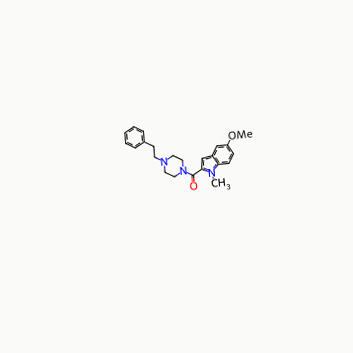 COc1ccc2c(c1)cc(C(=O)N1CCN(CCc3ccccc3)CC1)n2C